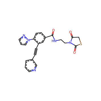 O=C(NCCN1C(=O)CSC1=O)c1ccc(-n2cccn2)c(C#Cc2cccnc2)c1